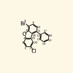 Clc1ccc2oc3c(Br)ccc(-c4ccccc4)c3c2c1